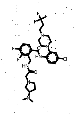 CN(C)C1CCN(CC(=O)NCc2c(C(=O)Nc3ccc(Cl)cc3N3CCN(CCC(F)(F)F)CC3)ccc(F)c2F)C1